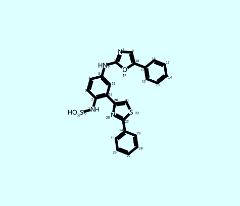 O=S(=O)(O)Nc1ccc(Nc2ncc(-c3ccccc3)o2)cc1-c1csc(-c2ccccc2)n1